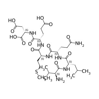 CSCC[C@H](NC(=O)[C@H](CCC(N)=O)NC(=O)[C@H](CC(C)C)NC(=O)[C@@H](N)C(C)C)C(=O)N[C@@H](CCC(=O)O)C(=O)N[C@@H](CC(=O)O)C(=O)O